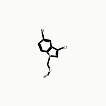 CCCOCn1cc(CC)c2cc(Br)ccc21